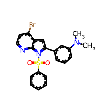 CN(C)c1cccc(-c2cc3c(Br)ccnc3n2S(=O)(=O)c2ccccc2)c1